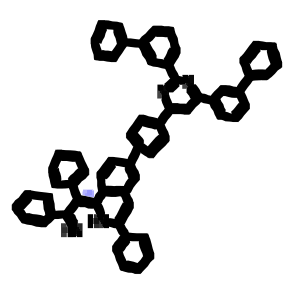 N=C(/C(=C1\NC(c2ccccc2)=Cc2cc(-c3ccc(-c4cc(-c5cccc(-c6ccccc6)c5)nc(-c5cccc(-c6ccccc6)c5)n4)cc3)ccc21)c1ccccc1)c1ccccc1